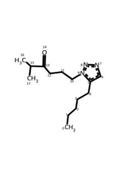 CCCCCc1cnnn1CCCC(=O)C(C)C